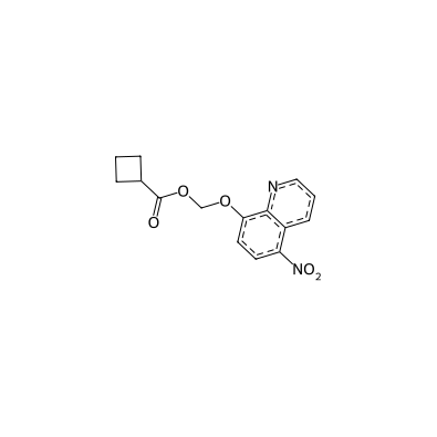 O=C(OCOc1ccc([N+](=O)[O-])c2cccnc12)C1CCC1